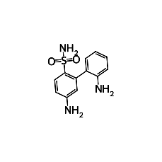 Nc1ccc(S(N)(=O)=O)c(-c2ccccc2N)c1